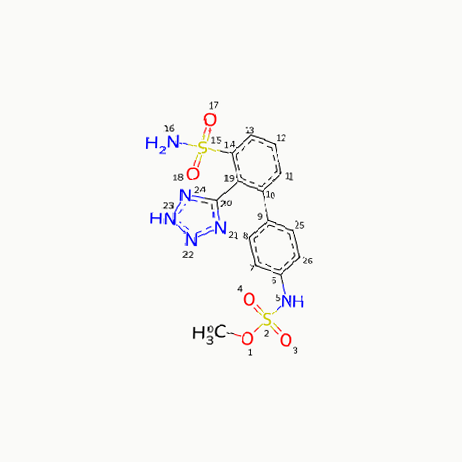 COS(=O)(=O)Nc1ccc(-c2cccc(S(N)(=O)=O)c2-c2nn[nH]n2)cc1